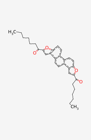 CCCCCCC(=O)c1cc2c(ccc3c2ccc2c4cc(C(=O)CCCCCC)oc4ccc23)o1